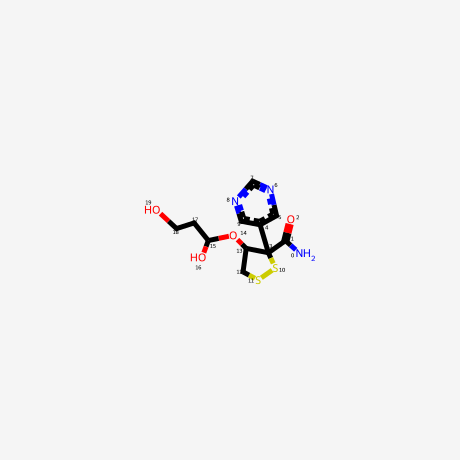 NC(=O)C1(c2cncnc2)SSCC1OC(O)CCO